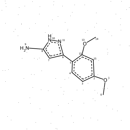 COc1ccc(-c2cc(N)[nH]n2)c(OC)c1